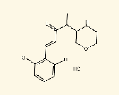 CC(C(=O)C=Cc1c(Cl)cccc1Cl)C1COCCN1.Cl